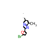 [C]c1cc(C)c2nc(-c3ccc(Br)o3)cn2c1